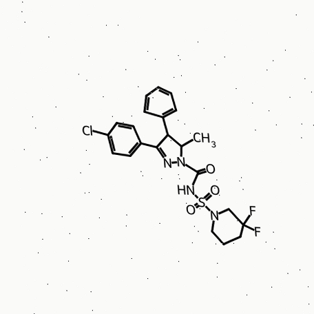 CC1C(c2ccccc2)C(c2ccc(Cl)cc2)=NN1C(=O)NS(=O)(=O)N1CCCC(F)(F)C1